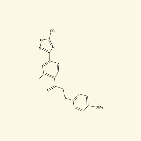 COc1ccc(OCC(=O)c2ccc(-c3noc(C(F)(F)F)n3)cc2F)cc1